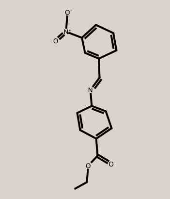 CCOC(=O)c1ccc(/N=C/c2cccc([N+](=O)[O-])c2)cc1